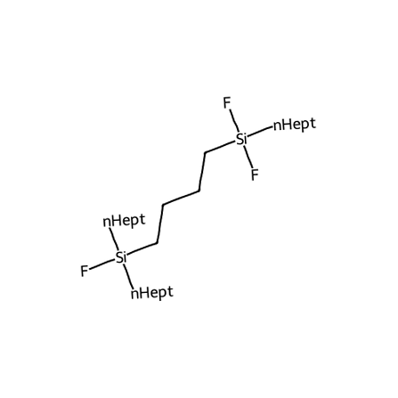 CCCCCCC[Si](F)(F)CCCC[Si](F)(CCCCCCC)CCCCCCC